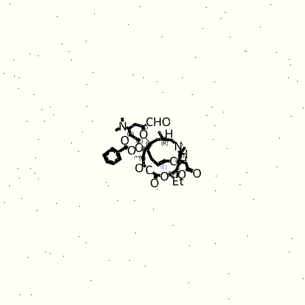 CC[C@H]1OC(=O)CC(=O)[C@H](C)[C@@H](O[C@@H]2O[C@H](C=O)CC(N(C)C)[C@H]2OC(=O)c2ccccc2)[C@]2(C)CC/C=C/CC3C(=O)O[C@@]1(C)[C@H]3[C@@H](C)N(C)C[C@H](C)C2